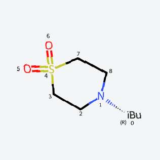 CC[C@@H](C)N1CCS(=O)(=O)CC1